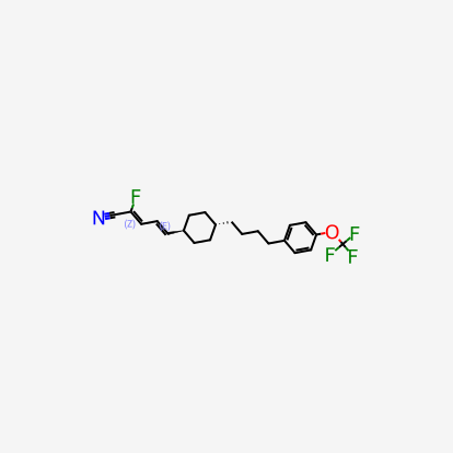 N#C/C(F)=C/C=C/[C@H]1CC[C@H](CCCCc2ccc(OC(F)(F)F)cc2)CC1